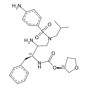 CC(C)CN(CC(N)[C@H](Cc1ccccc1)NC(=O)O[C@H]1CCOC1)S(=O)(=O)c1ccc(N)cc1